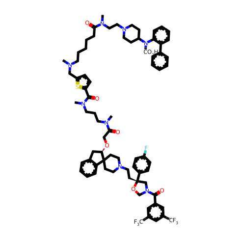 CN(CCCCCC(=O)N(C)CCN1CCC(N(C(=O)O)c2ccccc2-c2ccccc2)CC1)Cc1ccc(C(=O)N(C)CCCN(C)C(=O)CO[C@H]2Cc3ccccc3C23CCN(CC[C@@]2(c4ccc(F)cc4)CN(C(=O)c4cc(C(F)(F)F)cc(C(F)(F)F)c4)CO2)CC3)s1